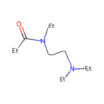 CCC(=O)N(CC)CCN(CC)CC